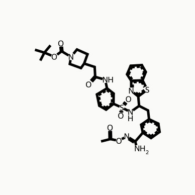 CC(=O)ON=C(N)c1cccc(CC(NS(=O)(=O)c2cccc(NC(=O)CC3CCN(C(=O)OC(C)(C)C)CC3)c2)c2nc3ccccc3s2)c1